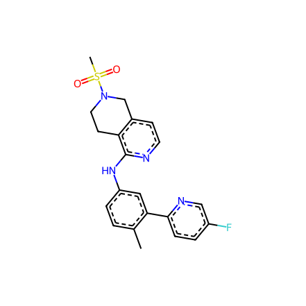 Cc1ccc(Nc2nccc3c2CCN(S(C)(=O)=O)C3)cc1-c1ccc(F)cn1